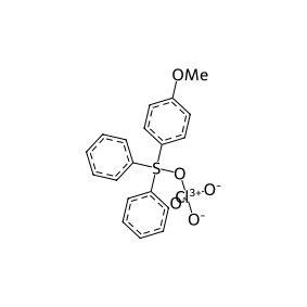 COc1ccc(S(O[Cl+3]([O-])([O-])[O-])(c2ccccc2)c2ccccc2)cc1